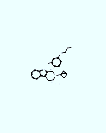 C[C@@H]1Cc2c([nH]c3ccccc23)[C@@H](c2ccc(OCCBr)cc2F)N1C12CC(C1)C2